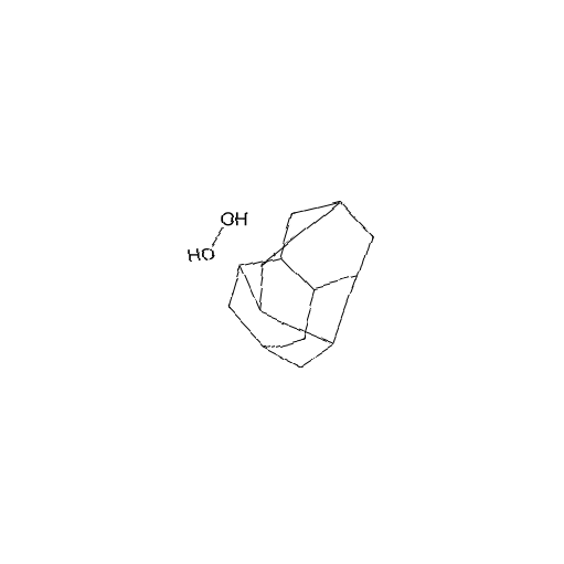 C1C2CC3C4CC5CC(C14)C(C2)C3C5.OO